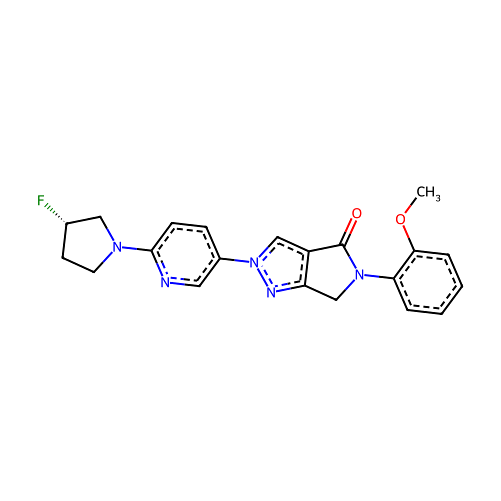 COc1ccccc1N1Cc2nn(-c3ccc(N4CC[C@H](F)C4)nc3)cc2C1=O